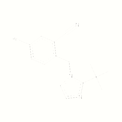 CC(C)(C)c1nccn1Cc1ccc(Br)cc1C#N